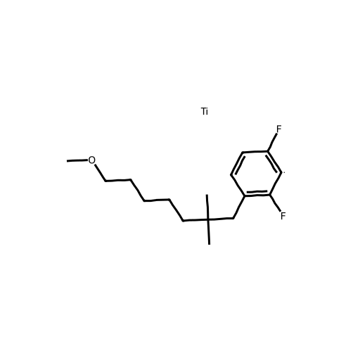 COCCCCCC(C)(C)Cc1ccc(F)[c]c1F.[Ti]